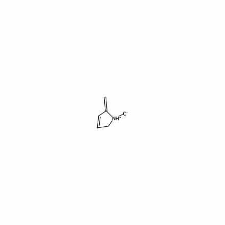 C=C1C=CC[NH+]1[CH2-]